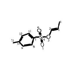 CC=COS(=O)(=O)c1ccc(C)cc1